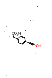 O=C(O)Cc1ccc(C#CO)cc1